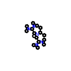 c1ccc(-c2cc(-c3ccccc3)cc(-n3c4cc(-c5cc(-n6c7ccccc7c7ccccc76)cc(-n6c7ccccc7c7ccccc76)c5)cc5c4c4c(cc(-c6cc(-n7c8ccccc8c8ccccc87)cc(-n7c8ccccc8c8ccccc87)c6)cc43)CC5)c2)cc1